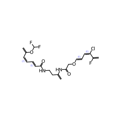 C=C(CCNC(=O)/C=C/C=C\C(=C)OC(F)F)NC(=O)CO/C=C/C=C(/Cl)C(=C)F